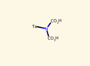 O=C(O)[N]([Ta])C(=O)O